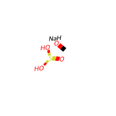 C=O.O=S(O)O.[NaH]